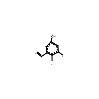 C=Cc1cc(O)cc(C)c1I